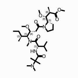 CC[C@H](C)[C@@H]([C@@H](CC(=O)N1CCC[C@H]1[C@H](OC)[C@@H](C)C(=O)OC)OC)N(C)C(=O)[C@@H](NC(=O)C(C)(C)N(C)C)C(C)C